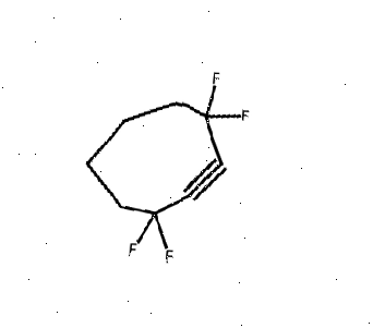 FC1(F)C#CC(F)(F)CCCC1